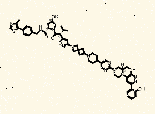 Cc1ncsc1-c1ccc(CNC(=O)[C@@H]2C[C@@H](O)CN2C(=O)[C@@H](c2cc(N3CC4(CC(N5CCC(c6cnc(N7CCN8c9cc(-c%10ccccc%10O)nnc9NC[C@H]8C7)nc6)CC5)C4)C3)no2)C(C)C)cc1